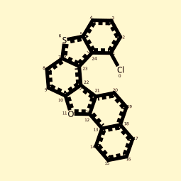 Clc1cccc2sc3ccc4oc5c6ccccc6ccc5c4c3c12